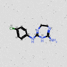 NC1=NCCN=C(Nc2ccc(Cl)cc2)N1